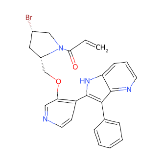 C=CC(=O)N1C[C@@H](Br)C[C@H]1COc1cnccc1-c1[nH]c2cccnc2c1-c1ccccc1